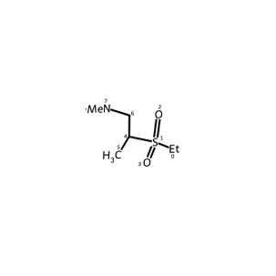 CCS(=O)(=O)C(C)C[N]C